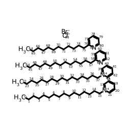 CCCCCCCCCCCCCCCC[n+]1ccccc1.CCCCCCCCCCCCCCCC[n+]1ccccc1.CCCCCCCCCCCCCCc1ccccn1.CCCCCCCCCCCCc1ccccn1.[Br-].[Cl-]